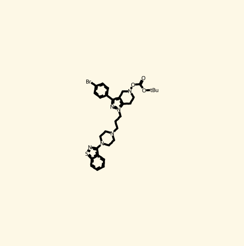 CC(C)(C)OC(=O)ON1CCc2c(c(-c3ccc(Br)cc3)nn2CCCN2CCN(c3nsc4ccccc34)CC2)C1